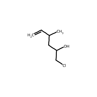 C=CC(C)CC(O)CCl